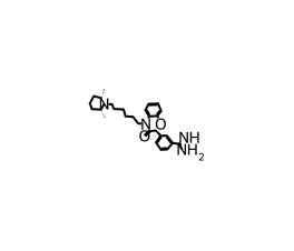 C[C@@H]1CCC[C@H](C)N1CCCCCCN1C(=O)C(c2cccc(C(=N)N)c2)Oc2ccccc21